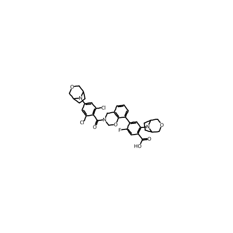 O=C(O)c1cc(F)c(-c2cccc3c2OCN(C(=O)c2c(Cl)cc(N4C5CCC4COC5)cc2Cl)C3)cc1N1C2CCC1COC2